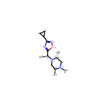 CC[C@H]1CN([C@@H](CC)c2nc(C3CC3)no2)[C@H](CC)CN1C(C)C